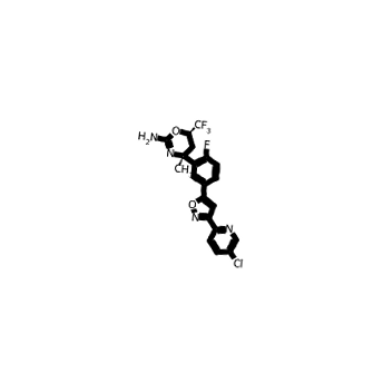 C[C@@]1(c2cc(-c3cc(-c4ccc(Cl)cn4)no3)ccc2F)C[C@@H](C(F)(F)F)OC(N)=N1